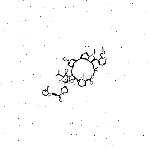 CCn1c(-c2cccnc2COC)c2c3cc(ccc31)-c1cc(O)cc(c1)C[C@H](NC(=O)C(C(C)C)N(C)C(=O)[C@H]1CCN(C(=O)C#C[C@@H]3CCCN3C)C1)C(=O)N1CCC[C@H](N1)C(=O)OCC(C)(C)C2